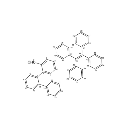 O=Cc1ccccc1-c1ccccc1-c1ccccc1.c1ccc(C(=C(c2ccccc2)c2ccccc2)c2ccccc2)cc1